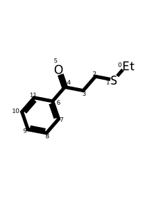 CCSCCC(=O)c1ccccc1